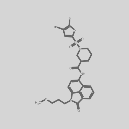 COCCCN1C(=O)c2cccc3c(NC(=O)C4CCCN(S(=O)(=O)c5cc(Br)c(Br)s5)C4)ccc1c23